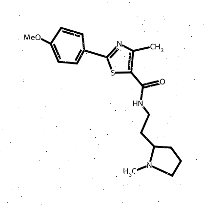 COc1ccc(-c2nc(C)c(C(=O)NCCC3CCCN3C)s2)cc1